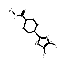 CC(C)(C)OC(=O)N1CCC(c2nc(Cl)c(Cl)[nH]2)CC1